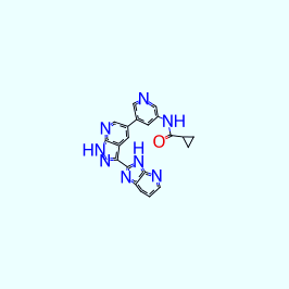 O=C(Nc1cncc(-c2cnc3[nH]nc(-c4nc5cccnc5[nH]4)c3c2)c1)C1CC1